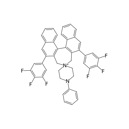 Fc1cc(-c2cc3ccccc3c3c2C[N+]2(CCN(c4ccccc4)CC2)Cc2c(-c4cc(F)c(F)c(F)c4)cc4ccccc4c2-3)cc(F)c1F